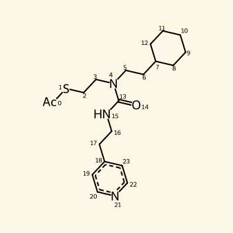 CC(=O)SCCN(CCC1CCCCC1)C(=O)NCCc1ccncc1